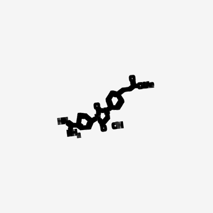 COC(=O)CCc1ccc(N2CC(=O)N(c3ccc(C(=N)N)cc3)C2=O)cc1.Cl